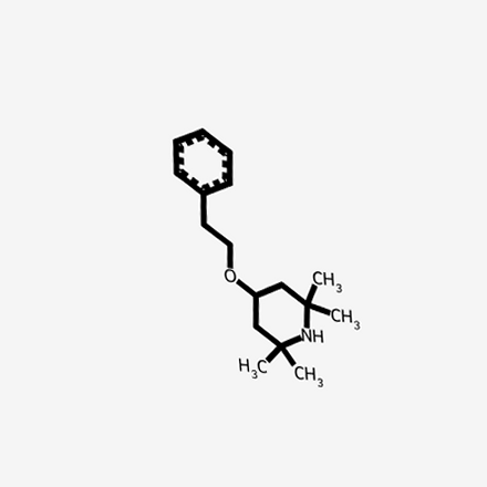 CC1(C)CC(OCCc2ccccc2)CC(C)(C)N1